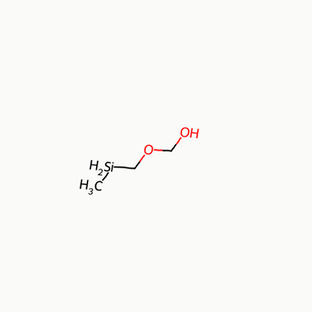 C[SiH2]COCO